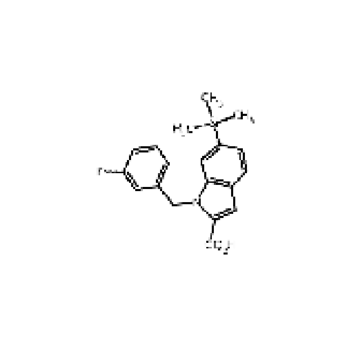 C[Si](C)(C)c1ccc2cc(C(=O)O)n(Cc3cccc(F)c3)c2c1